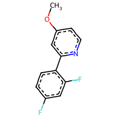 COc1ccnc(-c2ccc(F)cc2F)c1